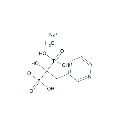 O.O=P([O-])(O)C(O)(Cc1cccnc1)P(=O)(O)O.[Na+]